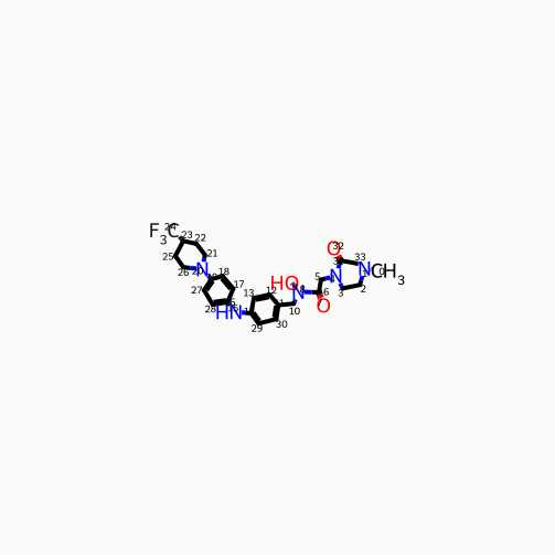 CN1CCN(CC(=O)N(O)Cc2ccc(Nc3ccc(N4CCC(C(F)(F)F)CC4)cc3)cc2)C(=O)C1